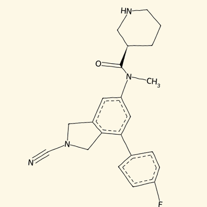 CN(C(=O)[C@@H]1CCCNC1)c1cc2c(c(-c3ccc(F)cc3)c1)CN(C#N)C2